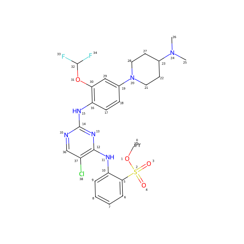 CC(C)OS(=O)(=O)c1ccccc1Nc1nc(Nc2ccc(N3CCC(N(C)C)CC3)cc2OC(F)F)ncc1Cl